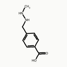 CNNCc1ccc(C(=O)O)cc1